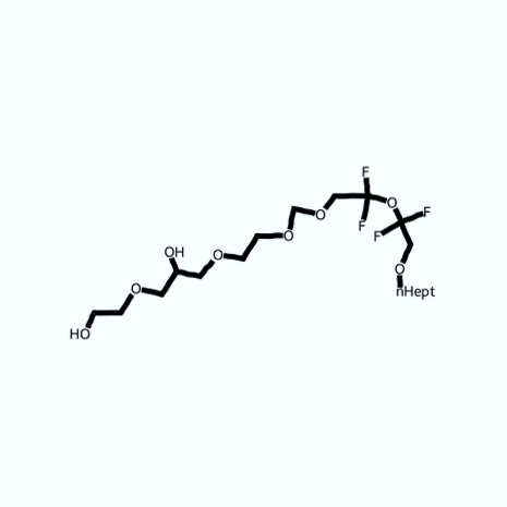 CCCCCCCOCC(F)(F)OC(F)(F)COCOCCOCC(O)COCCO